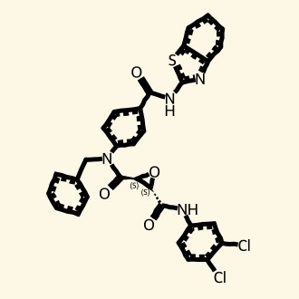 O=C(Nc1nc2ccccc2s1)c1ccc(N(Cc2ccccc2)C(=O)[C@H]2O[C@@H]2C(=O)Nc2ccc(Cl)c(Cl)c2)cc1